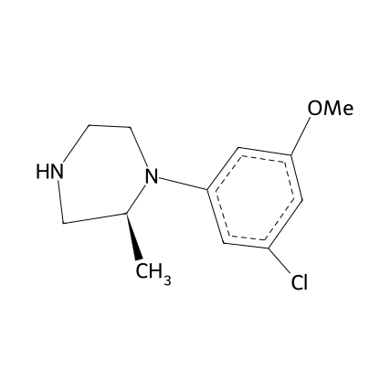 COc1cc(Cl)cc(N2CCNC[C@@H]2C)c1